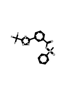 CS(=O)(=NC(=O)c1cccc(-c2noc(C(F)(F)F)n2)c1)c1ccccc1